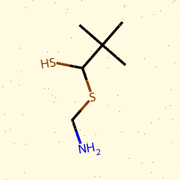 CC(C)(C)C(S)SCN